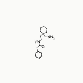 NCC1(CCNC(=O)Cc2ccccc2)CCCCC1